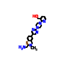 CN(Cc1cccc(-c2cnc(N3CCN(c4ncccc4CO)CC3)nc2)c1)C(=S)CN